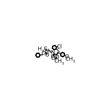 COc1ccc([C@@H]2Sc3c(Cl)cccc3N(CCN(C)C(=O)OCc3ccccc3)C(=O)[C@@H]2OC(C)=O)cc1